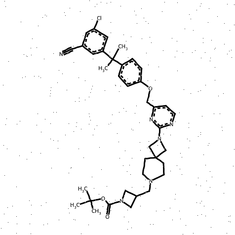 CC(C)(C)OC(=O)N1CC(CN2CCC3(CC2)CN(c2nccc(COc4ccc(C(C)(C)c5cc(Cl)cc(C#N)c5)cc4)n2)C3)C1